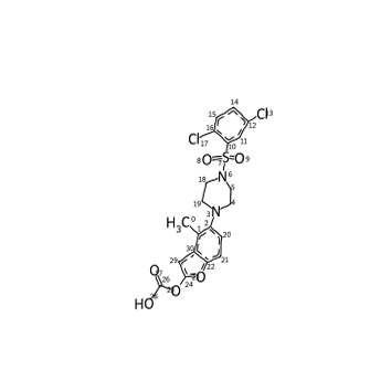 Cc1c(N2CCN(S(=O)(=O)c3cc(Cl)ccc3Cl)CC2)ccc2oc(OC(=O)O)cc12